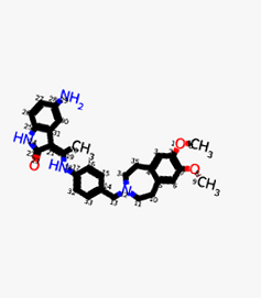 COc1cc2c(cc1OC)CCN(Cc1ccc(NC(C)=C3C(=O)Nc4ccc(N)cc43)cc1)CC2